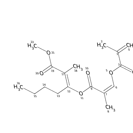 C=C(C)C(=O)OC=C(C)C(=O)OC(CCCC)=C(C)C(=O)OC